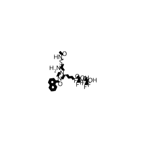 CCCC[C@H]1CN(C(=O)c2cccc3ccccc23)CCN1C[C@@H](N)CSCNC(C)=O.O=C(O)C(F)(F)F.O=C(O)C(F)(F)F